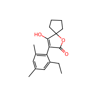 CCc1cc(C)cc(C)c1C1=C(O)C2(CCCC2)OC1=O